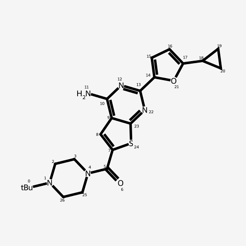 CC(C)(C)N1CCN(C(=O)c2cc3c(N)nc(-c4ccc(C5CC5)o4)nc3s2)CC1